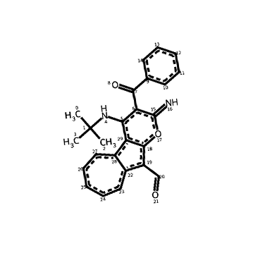 CC(C)(C)Nc1c(C(=O)c2ccccc2)c(=N)oc2c(C=O)c3cccccc-3c12